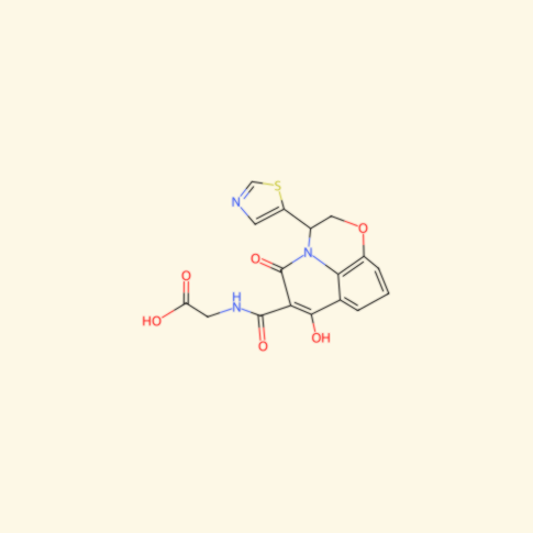 O=C(O)CNC(=O)c1c(O)c2cccc3c2n(c1=O)C(c1cncs1)CO3